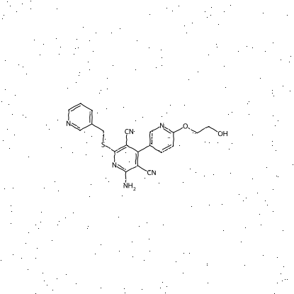 N#Cc1c(N)nc(SCc2cccnc2)c(C#N)c1-c1ccc(OCCO)nc1